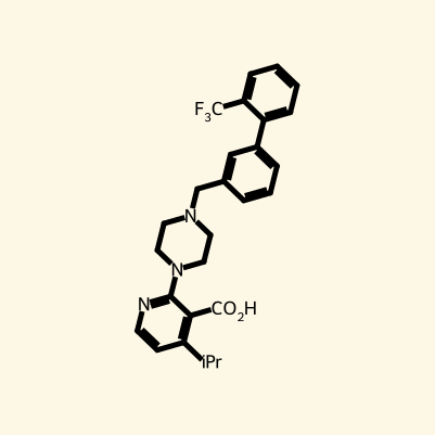 CC(C)c1ccnc(N2CCN(Cc3cccc(-c4ccccc4C(F)(F)F)c3)CC2)c1C(=O)O